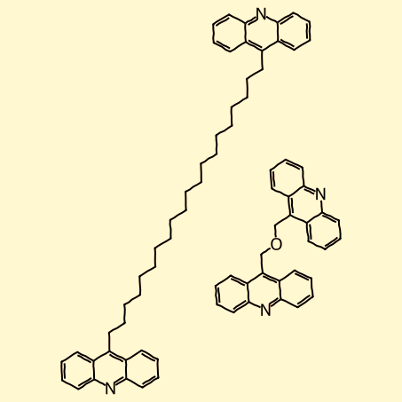 c1ccc2c(CCCCCCCCCCCCCCCCCCCCc3c4ccccc4nc4ccccc34)c3ccccc3nc2c1.c1ccc2c(COCc3c4ccccc4nc4ccccc34)c3ccccc3nc2c1